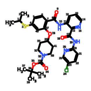 CC(C)Sc1ccc(C(=O)Nc2cccnc2C(=O)Nc2ccc(Cl)cn2)c(OC2CCN(C(=O)OC(C)(C)C)CC2)c1